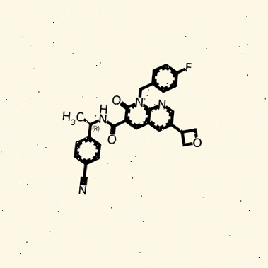 C[C@@H](NC(=O)c1cc2cc(C3COC3)cnc2n(Cc2ccc(F)cc2)c1=O)c1ccc(C#N)cc1